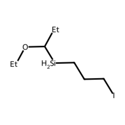 CCOC(CC)[SiH2]CCCI